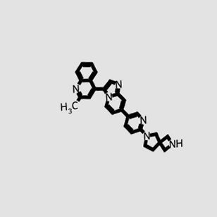 Cc1cc(-c2cnc3cc(-c4ccc(N5CCC6(CNC6)C5)nc4)ccn23)c2ccccc2n1